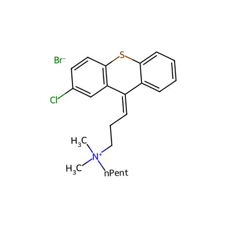 CCCCC[N+](C)(C)CCC=C1c2ccccc2Sc2ccc(Cl)cc21.[Br-]